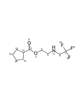 O=C(OCCNCC(F)(F)F)C1CCCC1